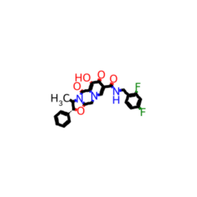 CC1[C@@H](c2ccccc2)OC2Cn3cc(C(=O)NCc4ccc(F)cc4F)c(=O)c(O)c3C(=O)N21